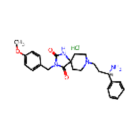 COc1ccc(CN2C(=O)NC3(CCN(CC[C@H](N)c4ccccc4)CC3)C2=O)cc1.Cl